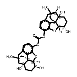 CN1CC[C@]23c4c5ccc(OC(=O)Oc6ccc7c8c6O[C@H]6[C@@H](O)CC[C@@]9(O)[C@@H](C7)N(C)CC[C@]869)c4O[C@H]2[C@@H](O)CC[C@@]3(O)C1C5